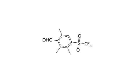 Cc1cc(S(=O)(=O)C(F)(F)F)c(C)c(C)c1C=O